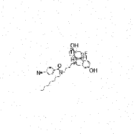 CCCCCCCCN(CCCC[C@@H]1Cc2cc(O)ccc2[C@@H]2[C@@H]1[C@@H]1CC[C@H](O)[C@@]1(C)C[C@@H]2F)C(=O)c1ccc(C#N)cc1